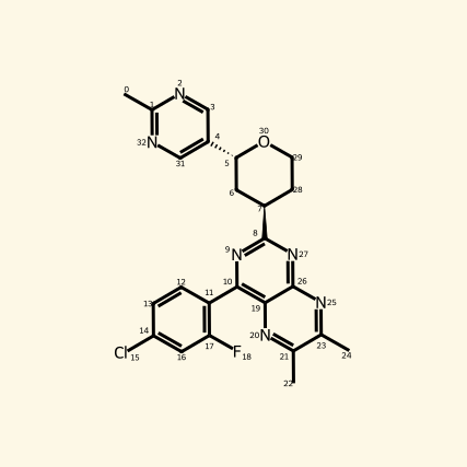 Cc1ncc([C@H]2C[C@H](c3nc(-c4ccc(Cl)cc4F)c4nc(C)c(C)nc4n3)CCO2)cn1